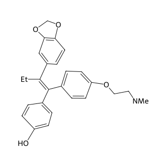 CCC(=C(c1ccc(O)cc1)c1ccc(OCCNC)cc1)c1ccc2c(c1)OCO2